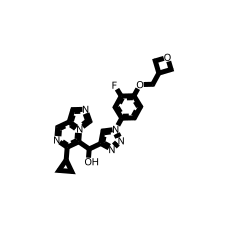 OC(c1cn(-c2ccc(OCC3COC3)c(F)c2)nn1)c1c(C2CC2)ncc2cncn12